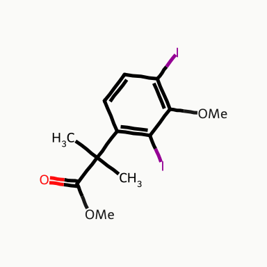 COC(=O)C(C)(C)c1ccc(I)c(OC)c1I